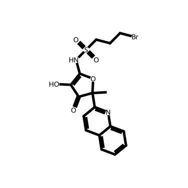 CC1(c2ccc3ccccc3n2)OC(NS(=O)(=O)CCCBr)=C(O)C1=O